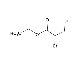 CCC(CO)C(=O)OCC(=O)O